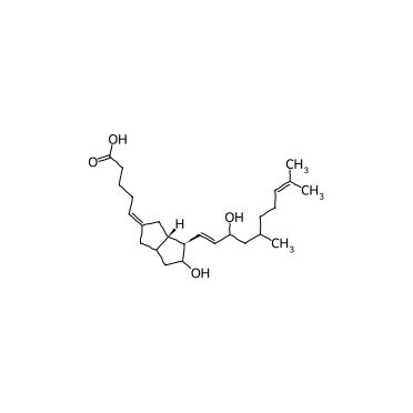 CC(C)=CCCC(C)CC(O)C=C[C@H]1C(O)CC2CC(=CCCCC(=O)O)C[C@@H]21